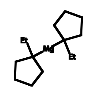 CC[C]1([Mg][C]2(CC)CCCC2)CCCC1